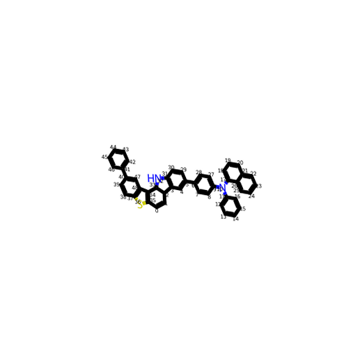 C1=CC2c3cc(-c4ccc(N(c5ccccc5)c5cccc6ccccc56)cc4)ccc3NC2c2c1sc1ccc(-c3ccccc3)cc21